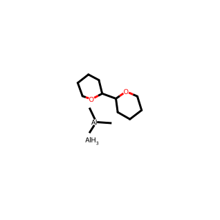 C1CCC(C2CCCCO2)OC1.[AlH3].[CH3][Al]([CH3])[CH3]